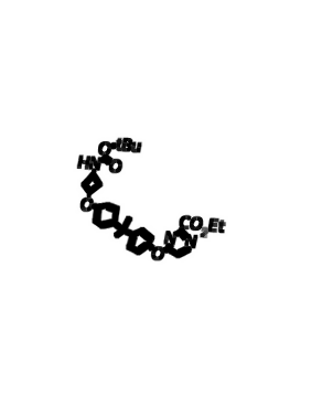 CCOC(=O)c1nccc(Oc2ccc(C(C)(C)c3ccc(O[C@H]4C[C@H](NC(=O)OC(C)(C)C)C4)cc3)cc2)n1